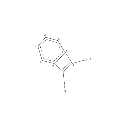 IC1=C(I)c2ccccc21